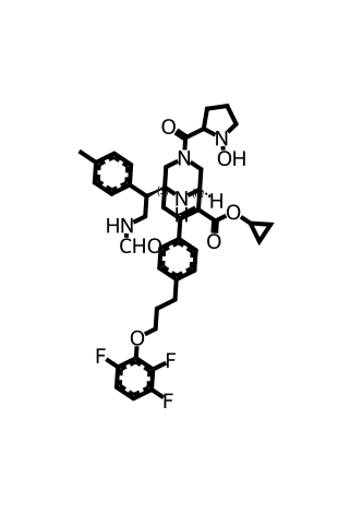 Cc1ccc(C(CNC=O)[C@@]23CC(c4ccc(CCCOc5c(F)ccc(F)c5F)cc4)=C(C(=O)OC4CC4)[C@H](CN(C(=O)C4CCCN4O)C2)N3)cc1